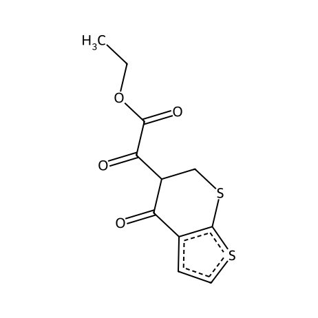 CCOC(=O)C(=O)C1CSc2sccc2C1=O